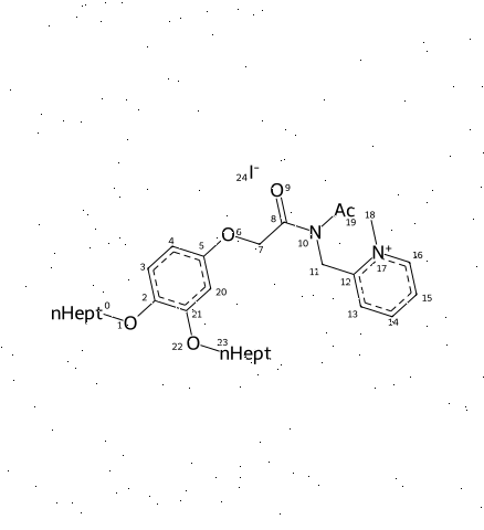 CCCCCCCOc1ccc(OCC(=O)N(Cc2cccc[n+]2C)C(C)=O)cc1OCCCCCCC.[I-]